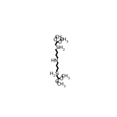 COC(C[SiH2]CCCCNCCCC[SiH2]CC(OC)OC)OC